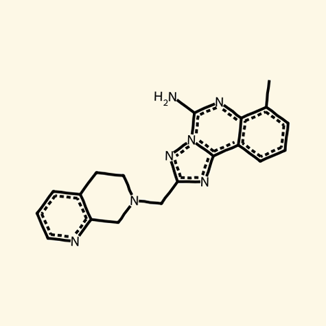 Cc1cccc2c1nc(N)n1nc(CN3CCc4cccnc4C3)nc21